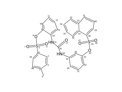 Cc1ccc(S(=O)(=O)Oc2ccccc2NC(=O)Nc2cccc(OS(=O)(=O)c3cccc4ccccc34)c2)cc1